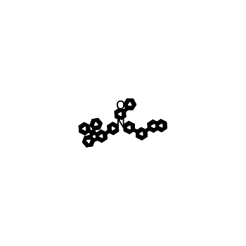 c1ccc(C2(c3ccccc3)c3ccccc3-c3ccc(-c4ccc(N(c5ccc(-c6cccc(-c7ccc8ccccc8c7)c6)cc5)c5ccc6oc7ccccc7c6c5)cc4)cc32)cc1